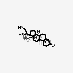 C[C@]12CCC(=O)C=C1CC[C@@H]1[C@H]2CC[C@@]2(C)[C@H]1CCC2(O)C(S)CS